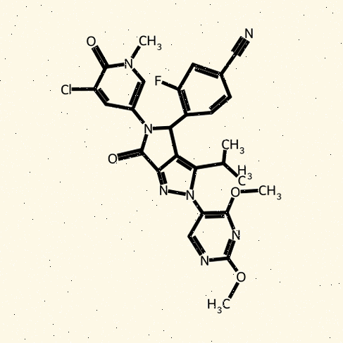 COc1ncc(-n2nc3c(c2C(C)C)C(c2ccc(C#N)cc2F)N(c2cc(Cl)c(=O)n(C)c2)C3=O)c(OC)n1